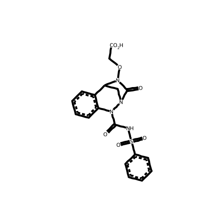 O=C(O)CON1C(=O)N2CC1c1ccccc1N2C(=O)NS(=O)(=O)c1ccccc1